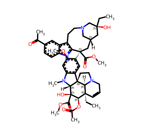 CC[C@]1(O)C[C@H]2CN(CCc3c([nH]c4ccc(C(C)=O)cc34)[C@@](C(=O)OC)(c3cc4c(cc3OC)N(C)[C@H]3[C@@](O)(C(=O)OC)[C@H](OC(C)=O)[C@]5(CC)C=CCN6CC[C@]43[C@@H]65)C2)C1